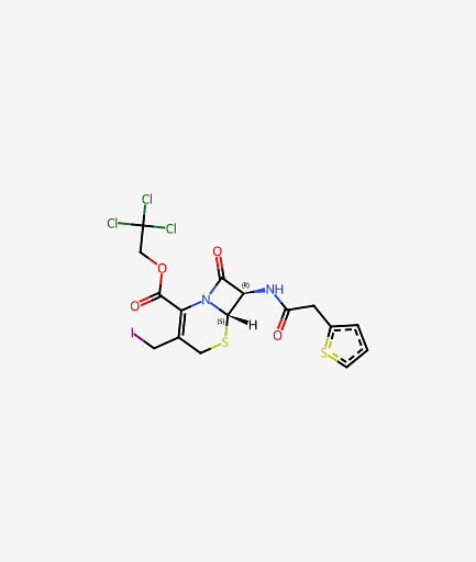 O=C(Cc1cccs1)N[C@@H]1C(=O)N2C(C(=O)OCC(Cl)(Cl)Cl)=C(CI)CS[C@@H]12